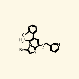 Nc1c(-c2ccccc2Cl)cc(NCc2cccnc2)c2ncc(Br)n12